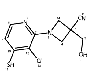 N#CC1(CO)CN(c2nccc(S)c2Cl)C1